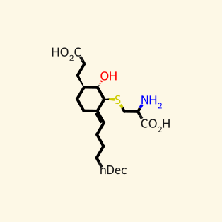 CCCCCCCCCCCCC/C=C1\CC[C@@H](CCC(=O)O)[C@H](O)[C@H]1SCC(N)C(=O)O